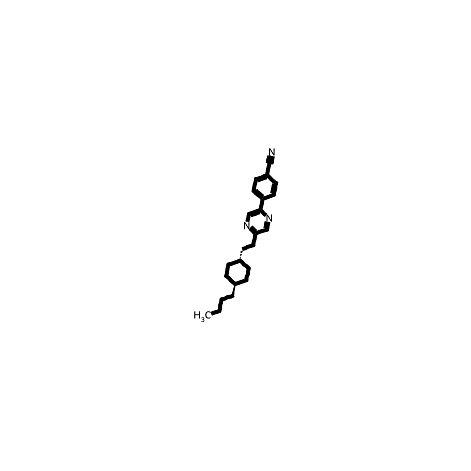 CCCC[C@H]1CC[C@H](CCc2cnc(-c3ccc(C#N)cc3)cn2)CC1